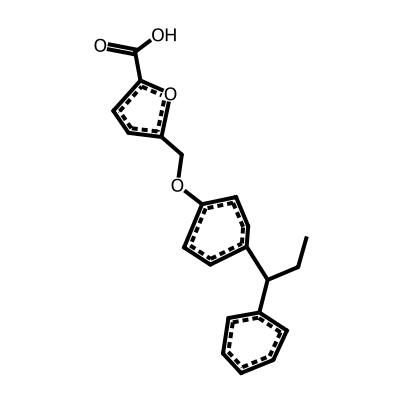 CCC(c1ccccc1)c1ccc(OCc2ccc(C(=O)O)o2)cc1